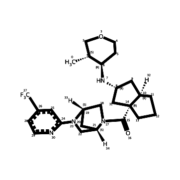 C[C@@H]1COCC[C@H]1N[C@@H]1C[C@H]2CCC[C@@]2(C(=O)N2C[C@@H]3C[C@H]2CN3c2cc(C(F)(F)F)ccn2)C1